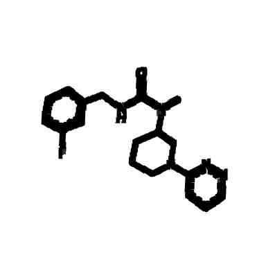 CN(C(=O)NCc1cccc(F)c1)C1CCCN(c2cccnn2)C1